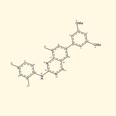 COc1cc(OC)cc(-c2cc(C)c3nc(Nc4ccc(C)cc4C)nnc3c2)c1